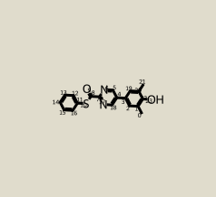 Cc1cc(-c2cnc(C(=O)Sc3ccccc3)nc2)cc(C)c1O